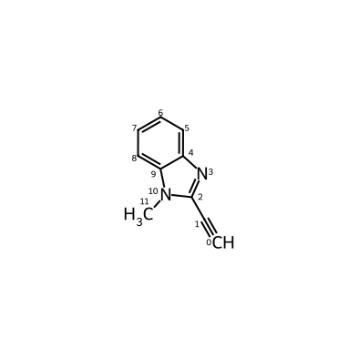 C#Cc1nc2ccccc2n1C